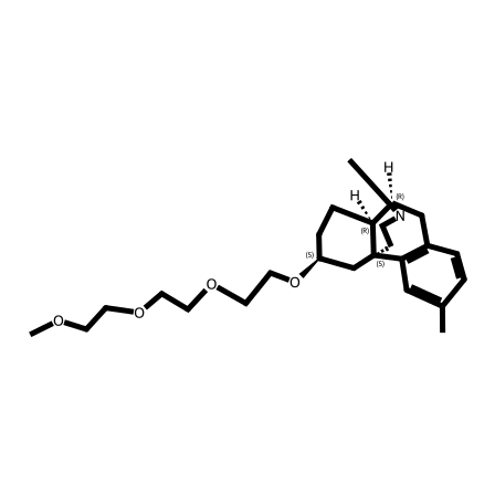 COCCOCCOCCO[C@H]1CC[C@H]2[C@H]3Cc4ccc(C)cc4[C@@]2(CCN3C)C1